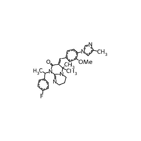 COc1cc(/C=C2/C(=O)N(C(C)c3ccc(F)cc3)C3=NCCCN3C2(C)C)ccc1-n1cnc(C)c1